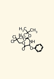 CC(C)(C)OC(=O)NC(Oc1ccccc1)C(=O)OCC(Cl)(Cl)Cl